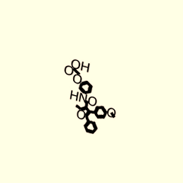 COc1ccc(-c2c(-c3ccccc3)oc(C)c2C(=O)Nc2cccc(OCC(=O)O)c2)cc1